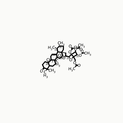 CC(=O)OCC12O[C@@H]([C@H](O)C[C@]34CC[C@@H](C)[C@H](C)C3C3=CCC5[C@@]6(C)CCC(=O)C(C)(C)C6CC[C@@]5(C)[C@]3(C)CC4)C1(OC(C)=O)C(OC(C)=O)[C@@H]2OC(C)=O